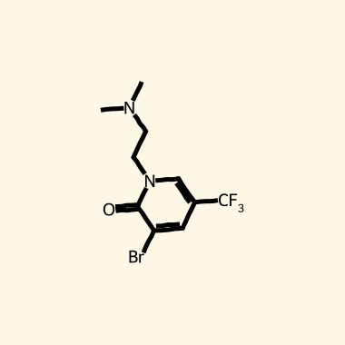 CN(C)CCn1cc(C(F)(F)F)cc(Br)c1=O